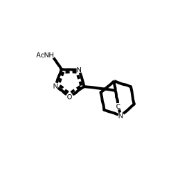 CC(=O)Nc1noc(C2CN3CCC2CC3)n1